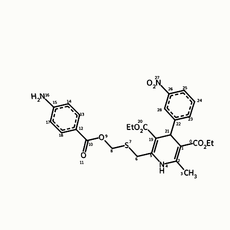 CCOC(=O)C1=C(C)NC(CSCOC(=O)c2ccc(N)cc2)=C(C(=O)OCC)C1c1cccc([N+](=O)[O-])c1